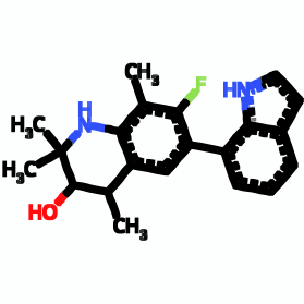 Cc1c(F)c(-c2cccc3cc[nH]c23)cc2c1NC(C)(C)C(O)C2C